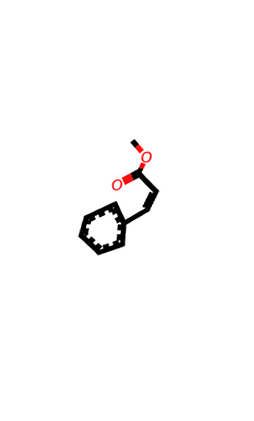 COC(=O)/C=C\c1ccccc1